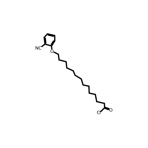 N#Cc1ccccc1OCCCCCCCCCCCCCC(=O)Cl